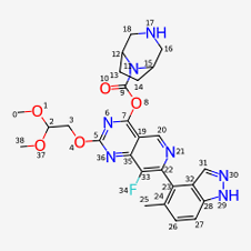 COC(COc1nc(OC(=O)N2C3CCC2CNC3)c2cnc(-c3c(C)ccc4[nH]ncc34)c(F)c2n1)OC